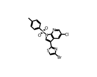 Cc1ccc(S(=O)(=O)n2cc(-c3nc(Br)cs3)c3cc(Cl)cnc32)cc1